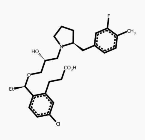 CC[C@@H](OC[C@H](O)CN1CCC[C@H]1Cc1ccc(C)c(F)c1)c1ccc(Cl)cc1CCC(=O)O